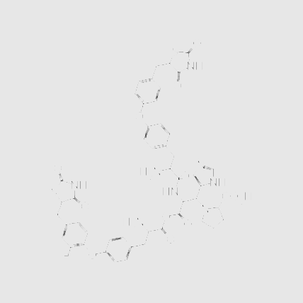 NC(Cc1ccc(Oc2ccc(CC3SC(=O)NC3=O)cc2)cc1)C(=O)NC(C(=O)OC(=O)C(N)Cc1ccc(Oc2ccc(CC3SC(=O)NC3=O)cc2F)cc1)C(c1cnc[nH]1)N1CCCC1C(=O)O